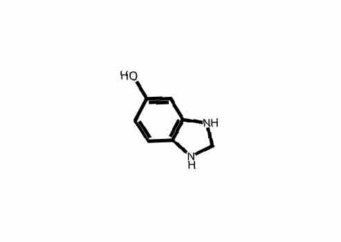 Oc1ccc2c(c1)NCN2